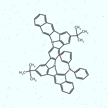 CC(C)(C)c1cc2c3cc4ccccc4cc3n3c4cc5c6cc(C(C)(C)C)cc7c8cc9ccccc9c(N(c9ccccc9)c9ccccc9)c8n(c5cc4c(c1)c23)c67